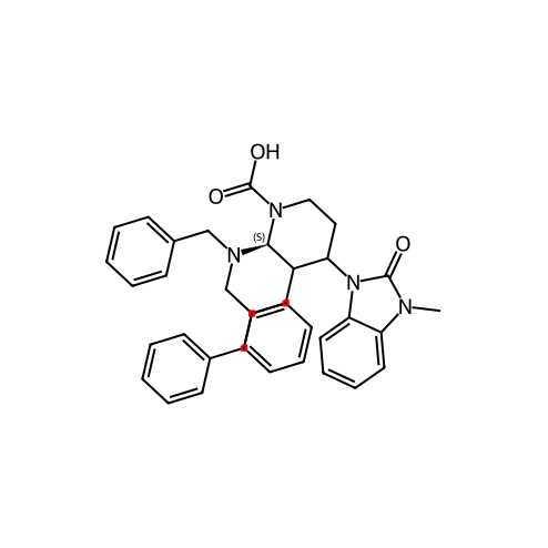 Cn1c(=O)n(C2CCN(C(=O)O)[C@H](N(Cc3ccccc3)Cc3ccccc3)C2CCCc2ccccc2)c2ccccc21